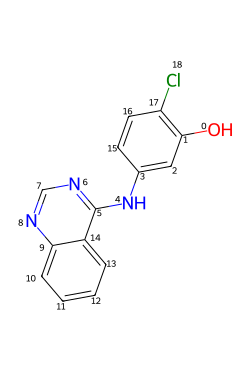 Oc1cc(Nc2ncnc3ccccc23)ccc1Cl